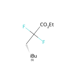 CCOC(=O)C(F)(F)C[C@@H](C)CC